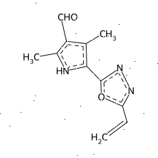 C=Cc1nnc(-c2[nH]c(C)c(C=O)c2C)o1